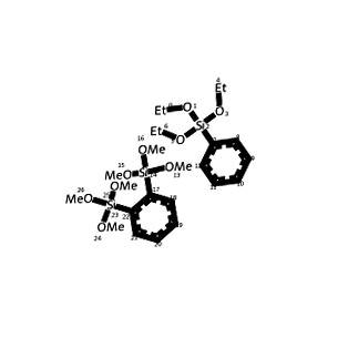 CCO[Si](OCC)(OCC)c1ccccc1.CO[Si](OC)(OC)c1ccccc1[Si](OC)(OC)OC